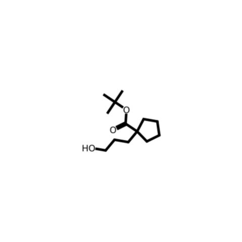 CC(C)(C)OC(=O)C1(CCCO)CCCC1